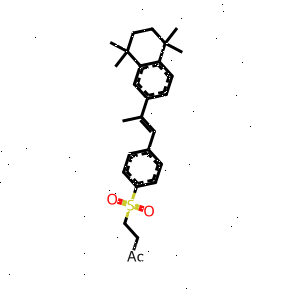 CC(=O)CCS(=O)(=O)c1ccc(/C=C(\C)c2ccc3c(c2)C(C)(C)CCC3(C)C)cc1